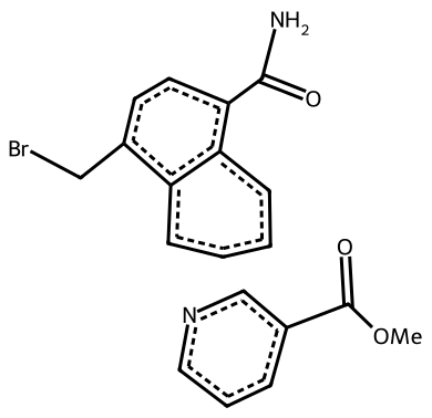 COC(=O)c1cccnc1.NC(=O)c1ccc(CBr)c2ccccc12